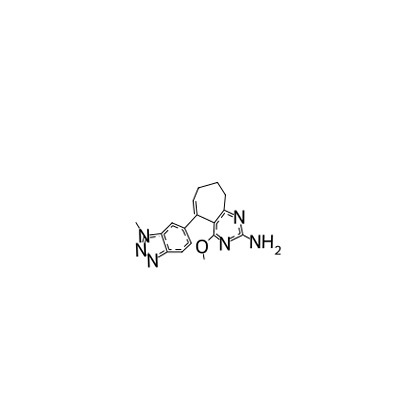 COc1nc(N)nc2c1C(c1ccc3nnn(C)c3c1)=CCCC2